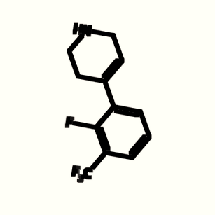 Fc1c(C2=CCNCC2)cccc1C(F)(F)F